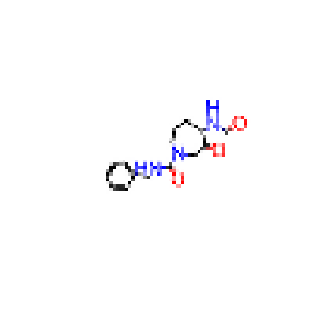 O=CNC1CCCN(C(=O)NCc2ccccc2)CC1=O